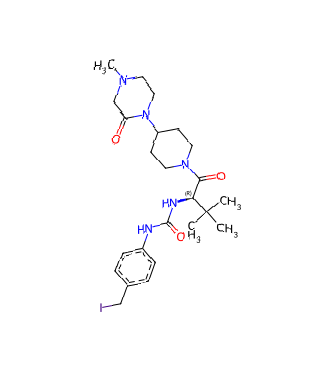 CN1CCN(C2CCN(C(=O)[C@H](NC(=O)Nc3ccc(CI)cc3)C(C)(C)C)CC2)C(=O)C1